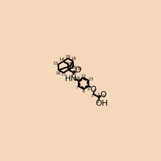 O=C(O)COc1ccc(NC(=O)C23CC4CC(CC(C4)C2)C3)cc1